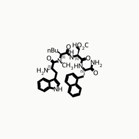 CCCC[C@@H](C(=O)N[C@@H](CC(=O)O)C(=O)N[C@@H](Cc1cccc2ccccc12)C(N)=O)N(C)C(=O)[C@@H](N)Cc1c[nH]c2ccccc12